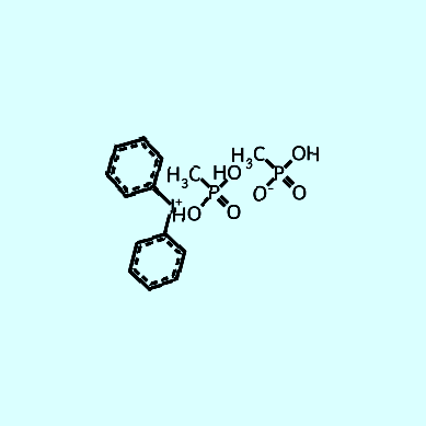 CP(=O)(O)O.CP(=O)([O-])O.c1ccc([I+]c2ccccc2)cc1